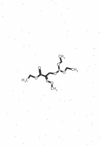 CCOC(=O)C(COP(OCC)OCC)=NOC